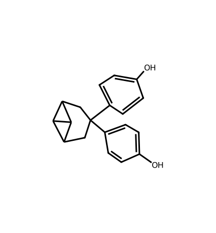 Oc1ccc(C2(c3ccc(O)cc3)CC3C4C(C2)C34)cc1